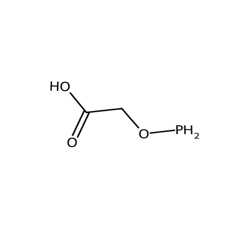 O=C(O)COP